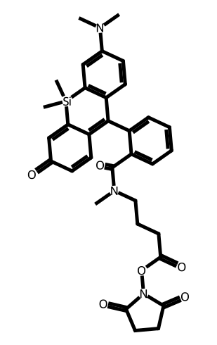 CN(CCCC(=O)ON1C(=O)CCC1=O)C(=O)c1ccccc1C1=C2C=CC(=O)C=C2[Si](C)(C)c2cc(N(C)C)ccc21